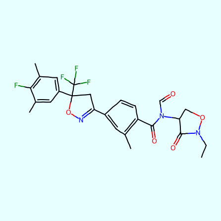 CCN1OCC(N(C=O)C(=O)c2ccc(C3=NOC(c4cc(C)c(F)c(C)c4)(C(F)(F)F)C3)cc2C)C1=O